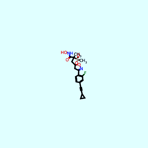 CC(CC1CC(c2ccc(C#CC3CC3)cc2F)=NO1)(C(=O)NO)S(C)(=O)=O